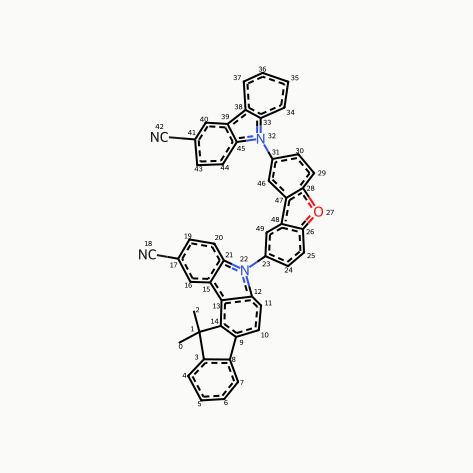 CC1(C)c2ccccc2-c2ccc3c(c21)c1cc(C#N)ccc1n3-c1ccc2oc3ccc(-n4c5ccccc5c5cc(C#N)ccc54)cc3c2c1